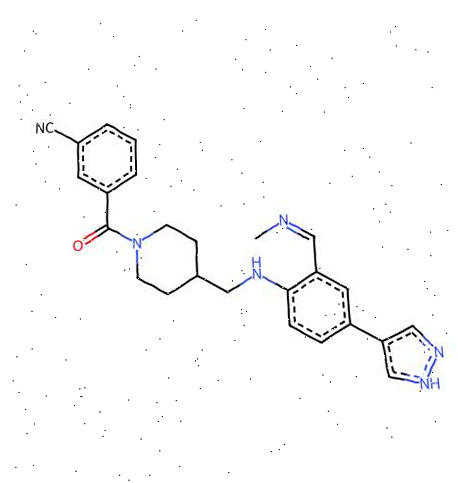 C/N=C\c1cc(-c2cn[nH]c2)ccc1NCC1CCN(C(=O)c2cccc(C#N)c2)CC1